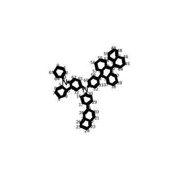 c1ccc(-n2c3ccccc3c3cc(N(c4ccc(-c5ccc6ccccc6c5)cc4)c4ccc(-c5c6ccccc6c(-c6cccc7ccccc67)c6ccccc56)cc4)ccc32)cc1